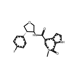 Cn1cc(C(=O)NC2COC[C@H]2c2ccc(F)cc2)c2cc[nH]c2c1=O